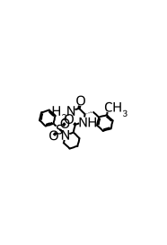 Cc1ccccc1C[C@H](NC(=O)C1CCCCN1S(=O)(=O)c1ccccc1)C(N)=O